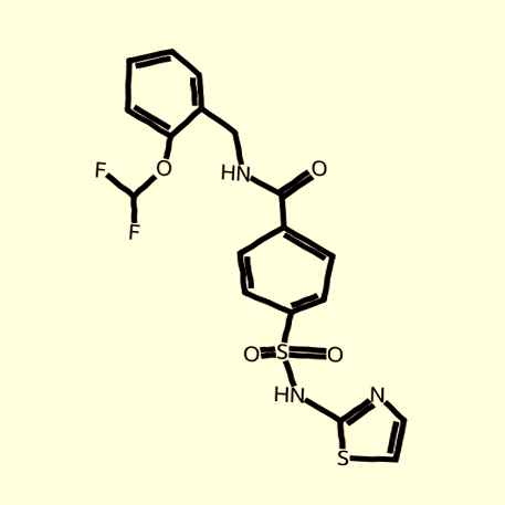 O=C(NCc1ccccc1OC(F)F)c1ccc(S(=O)(=O)Nc2nccs2)cc1